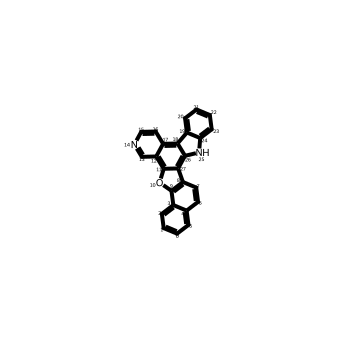 c1ccc2c(c1)ccc1c2oc2c3cnccc3c3c4ccccc4[nH]c3c12